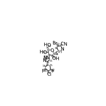 N#Cc1ncc(SC2OC(CO)C(O)C(n3cc(-c4cc(F)c(Cl)c(F)c4)nn3)[C@@H]2O)cc1Br